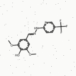 COc1cc(C=NNc2ccc(C(F)(F)F)cn2)cc(OC)c1O